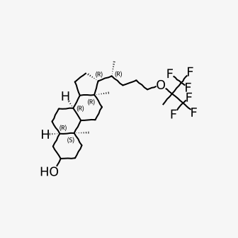 C[C@H](CCCOC(C)(C(F)(F)F)C(F)(F)F)[C@H]1CCC2[C@@H]3CC[C@@H]4CC(O)CC[C@]4(C)C3CC[C@@]21C